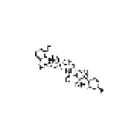 CCN(CC(O)(CNC(=O)c1cnn(-c2ccc(F)cc2)c1N)C(F)(F)F)C(=O)c1c(F)cccc1C(F)(F)F